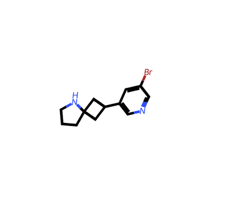 Brc1cncc(C2CC3(CCCN3)C2)c1